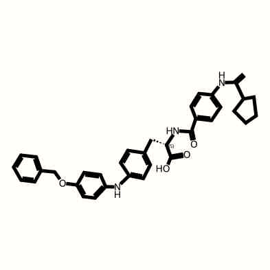 C=C(Nc1ccc(C(=O)N[C@@H](Cc2ccc(Nc3ccc(OCc4ccccc4)cc3)cc2)C(=O)O)cc1)C1CCCC1